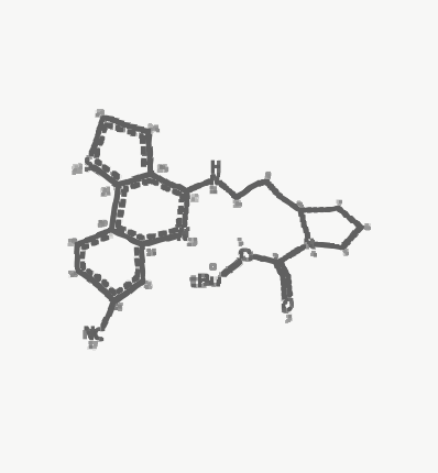 CC(C)(C)OC(=O)N1CCCC1CCNc1nc2cc(C#N)ccc2c2sccc12